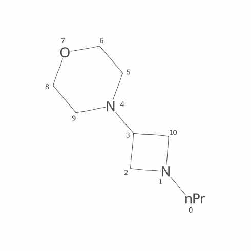 CCCN1CC(N2CCOCC2)C1